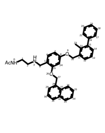 CC(=O)NCCNCc1ccc(OCc2cccc(-c3ccccc3)c2C)cc1OCc1cccc2ccccc12